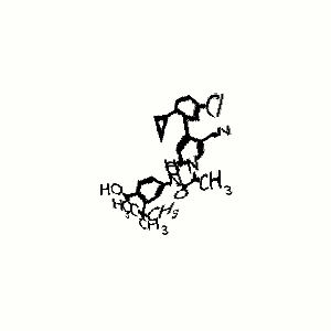 CC(C(=O)Nc1ccc(C(=O)O)c(C(C)(C)C)c1)n1cc(C#N)c(-c2cc(Cl)ccc2C2CC2)cc1=O